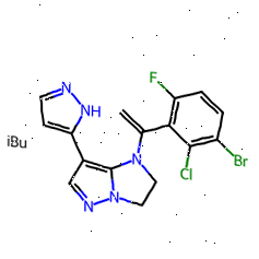 C=C(c1c(F)ccc(Br)c1Cl)N1CCn2ncc(-c3[nH]ncc3[C@H](C)CC)c21